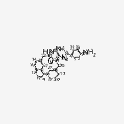 Nc1ccc(-c2cnc(NC(=O)Cc3ccc4ccccc4c3)c(CCC3CCCCC3)n2)cc1